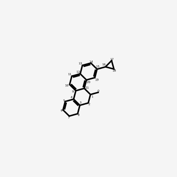 CC1CC2=C(C=CCC2)c2ccc3ccc(C4CC4)cc3c21